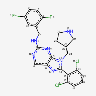 Fc1ccc(F)c(CNc2ncc3nc(-c4c(Cl)cccc4Cl)n(C[C@H]4CCNC4)c3n2)c1